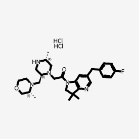 C[C@@H]1CN(CC(=O)N2CC(C)(C)c3ncc(Cc4ccc(F)cc4)cc32)[C@@H](CN2CCOC[C@H]2C)CN1.Cl.Cl